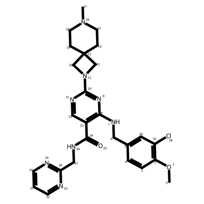 COc1ccc(CNc2nc(N3CC4(CCN(C)CC4)C3)ncc2C(=O)NCc2ncccn2)cc1Cl